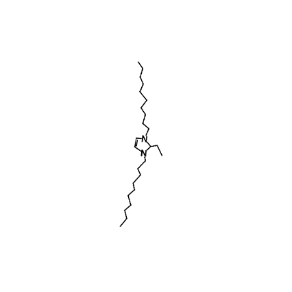 CCCCCCCCCCN1C=CN(CCCCCCCCCC)C1CC